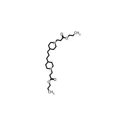 CCCOC(=O)CCN1CCC(CCCC2CCN(CCC(=O)OCCC)CC2)CC1